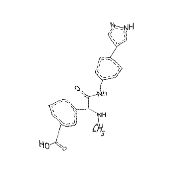 CNC(C(=O)Nc1ccc(-c2cn[nH]c2)cc1)c1cccc(C(=O)O)c1